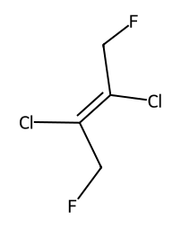 FCC(Cl)=C(Cl)CF